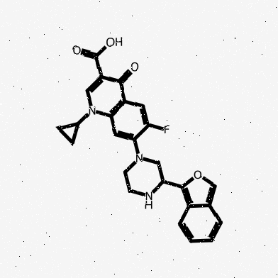 O=C(O)c1cn(C2CC2)c2cc(N3CCNC(c4occ5ccccc45)C3)c(F)cc2c1=O